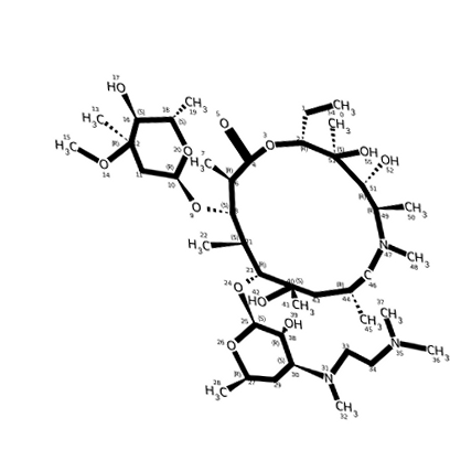 CC[C@H]1OC(=O)[C@H](C)[C@@H](O[C@H]2C[C@@](C)(OC)[C@@H](O)[C@H](C)O2)[C@H](C)[C@@H](O[C@@H]2O[C@H](C)C[C@H](N(C)CCN(C)C)[C@H]2O)[C@@](C)(O)C[C@@H](C)CN(C)[C@H](C)[C@@H](O)[C@]1(C)O